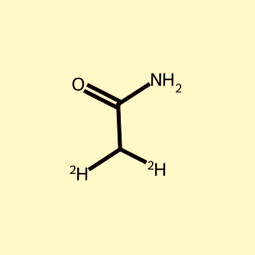 [2H]C([2H])C(N)=O